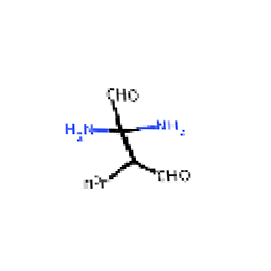 CCCC(C=O)C(N)(N)C=O